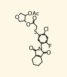 CC(=O)OC1COCC1OC(=O)CSc1cc(N2C(=O)C3=C(CCCC3)C2=O)c(F)cc1Cl